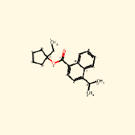 CCC1(OC(=O)c2ccc(C(C)C)c3ccccc23)CCCC1